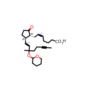 CC#CCCC(C)(/C=C/[C@H]1CCC(=O)[C@@H]1C/C=C\CCCC(=O)O)OC1CCCCO1